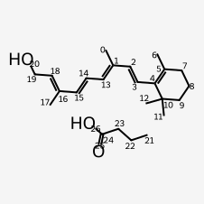 CC(C=CC1=C(C)CCCC1(C)C)=CC=CC(C)=CCO.CCCC(=O)O